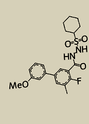 COc1cccc(-c2cc(C)c(F)c(C(=O)NNS(=O)(=O)C3CCCCC3)c2)c1